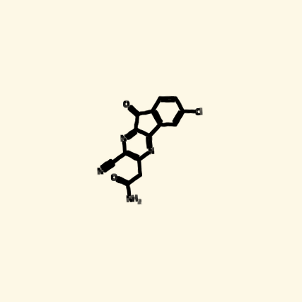 N#Cc1nc2c(nc1CC(N)=O)-c1cc(Cl)ccc1C2=O